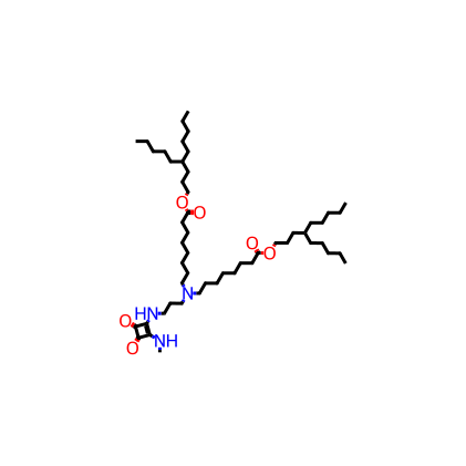 CCCCCC(CCCCC)CCCOC(=O)CCCCCCCN(CCCCCCCC(=O)OCCCC(CCCCC)CCCCC)CCCNc1c(NC)c(=O)c1=O